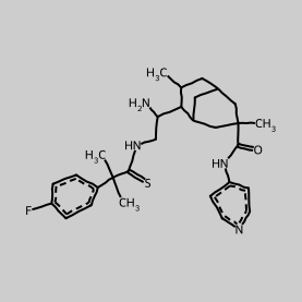 CC1CC2CC(CC(C)(C(=O)Nc3ccncc3)C2)C1C(N)CNC(=S)C(C)(C)c1ccc(F)cc1